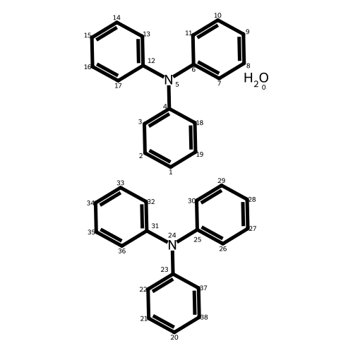 O.c1ccc(N(c2ccccc2)c2ccccc2)cc1.c1ccc(N(c2ccccc2)c2ccccc2)cc1